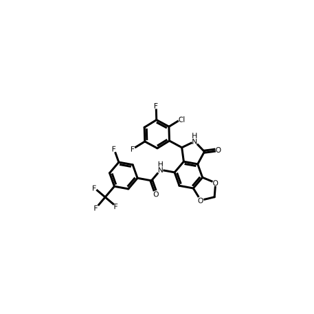 O=C(Nc1cc2c(c3c1C(c1cc(F)cc(F)c1Cl)NC3=O)OCO2)c1cc(F)cc(C(F)(F)F)c1